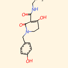 O=C(O)CNC(=O)C1=C(O)CCN(Cc2ccc(O)cc2)C1=O